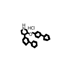 Cl.c1ccc(-c2ccc(COC3CNCCC3c3cccc(-c4ccccc4)c3)cc2)cc1